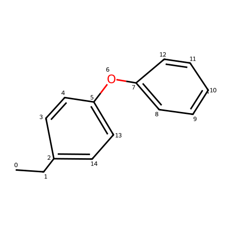 CCc1ccc(Oc2cc[c]cc2)cc1